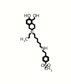 CCCN(CCCCCCNCCc1ccc(S(C)(=O)=O)cc1)[C@H]1CCc2c(ccc(O)c2CO)C1